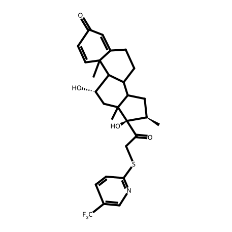 C[C@@H]1CC2C3CCC4=CC(=O)C=CC4(C)C3[C@@H](O)CC2(C)[C@@]1(O)C(=O)CSc1ccc(C(F)(F)F)cn1